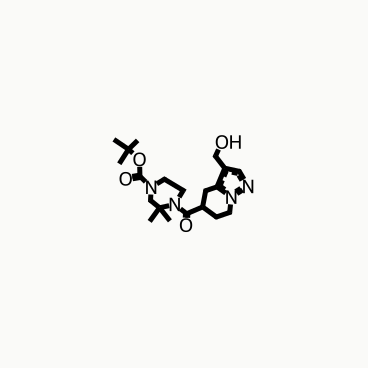 CC(C)(C)OC(=O)N1CCN(C(=O)C2CCn3ncc(CO)c3C2)C(C)(C)C1